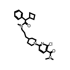 CN(C)C(=O)c1ccc(N2CCC(CCCN(C)C(=O)C(c3ccccc3)C3CCC3)CC2)nc1Cl